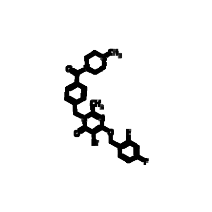 Cc1nc(OCc2ccc(F)cc2F)c(Br)c(=O)n1Cc1ccc(C(=O)N2CCN(C)CC2)cc1